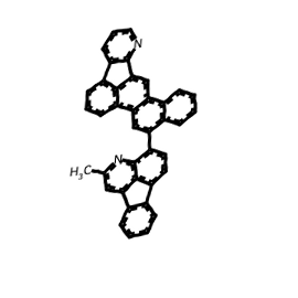 Cc1cc2c3c(ccc(-c4cc5c6cccc7c6c(cc5c5ccccc45)-c4ncccc4-7)c3n1)-c1ccccc1-2